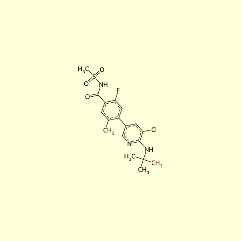 Cc1cc(C(=O)NS(C)(=O)=O)c(F)cc1-c1cnc(NC(C)(C)C)c(Cl)c1